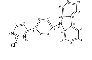 Clc1nccc(-c2ccc(-n3c4ccccc4c4ccccc43)cc2)n1